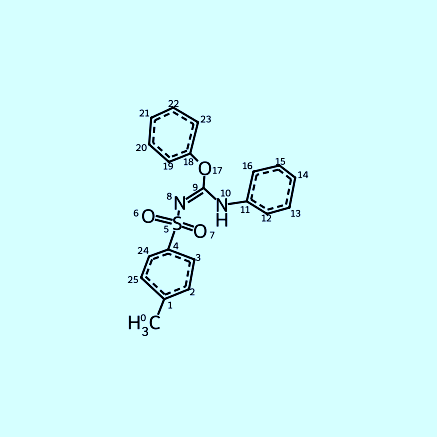 Cc1ccc(S(=O)(=O)N=C(Nc2ccccc2)Oc2ccccc2)cc1